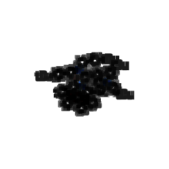 CC(C)(C)c1ccc(-c2cccc(N3c4ccc(-c5ccc(C(C)(C)C)cc5)cc4B4c5ccc([Si](c6ccccc6)(c6ccccc6)c6ccccc6)cc5N(c5cccc([Si](c6ccccc6)(c6ccccc6)c6ccccc6)c5)c5cc(-c6cccc7c(N(c8ccc(C(C)(C)C)cc8)c8ccc(C(C)(C)C)cc8)c8ccccc8cc67)cc3c54)c2)cc1